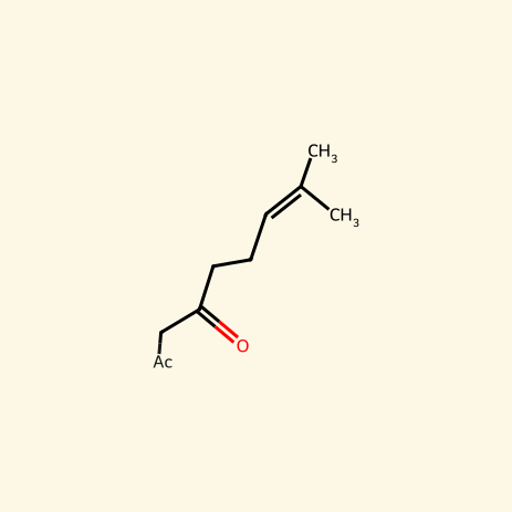 CC(=O)CC(=O)CCC=C(C)C